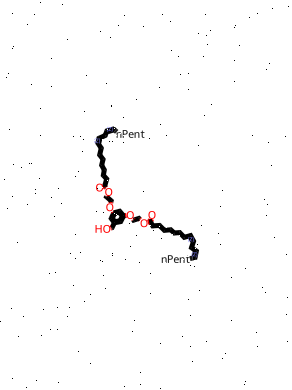 CCCCC/C=C\C/C=C\CCCCCCCC(=O)OCCOc1cc(CO)cc(OCCOC(=O)CCCCCCC/C=C\C/C=C\CCCCC)c1